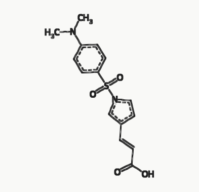 CN(C)c1ccc(S(=O)(=O)n2ccc(/C=C/C(=O)O)c2)cc1